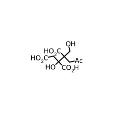 CC(=O)CC(CO)(C(=O)O)C(O)(CC(=O)O)C(=O)O